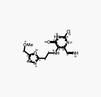 COCc1nnc(CCNc2c(C=N)nc(Cl)[nH]c2=O)o1